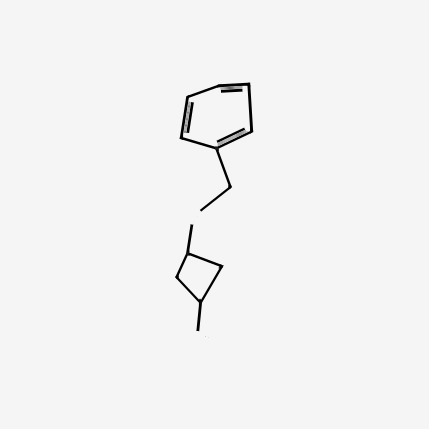 CC(C)C1CC(OCc2ccccc2)C1